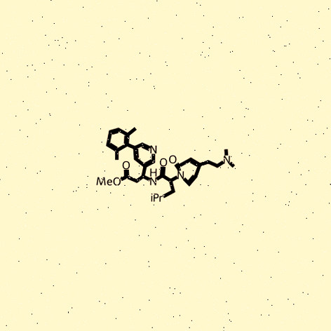 COC(=O)CC(NC(=O)C(CC(C)C)n1ccc(CCN(C)C)cc1=O)c1cncc(-c2c(C)cccc2C)c1